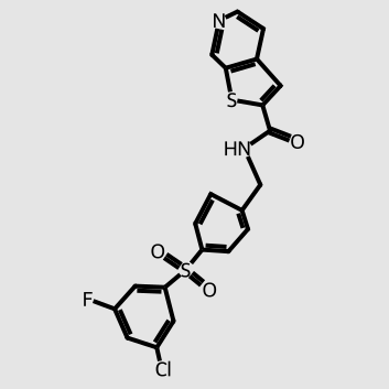 O=C(NCc1ccc(S(=O)(=O)c2cc(F)cc(Cl)c2)cc1)c1cc2ccncc2s1